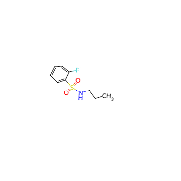 CCCNS(=O)(=O)c1ccccc1F